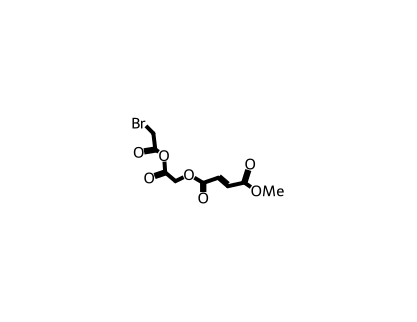 COC(=O)/C=C/C(=O)OCC(=O)OC(=O)CBr